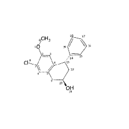 COc1cc2c(cc1Cl)C[C@H](O)C[C@H]2c1ccccc1